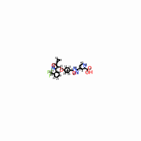 O=C(O)c1cc(-c2noc(C34CCC(OCc5c(-c6ccccc6C(F)(F)F)noc5C5CC5)(CC3)CC4)n2)ccn1